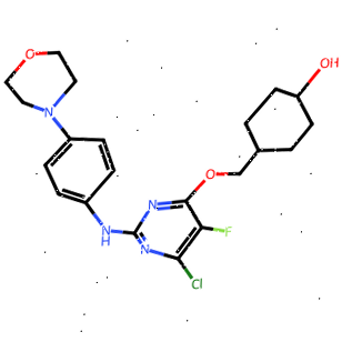 OC1CCC(COc2nc(Nc3ccc(N4CCOCC4)cc3)nc(Cl)c2F)CC1